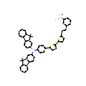 CC(C)[Si](O)(c1cccc(C=Cc2ccc(-c3ccc(-c4ccc(N(c5ccc6c(c5)C(C)(C)c5ccccc5-6)c5ccc6c(c5)C(C)(C)c5ccccc5-6)cc4)s3)s2)c1)C(C)C